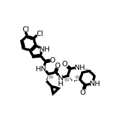 NC(=O)[C@H](C[C@@H]1CCCNC1=O)NC(=O)[C@H](CC1CC1)NC(=O)c1cc2ccc(Cl)c(Cl)c2[nH]1